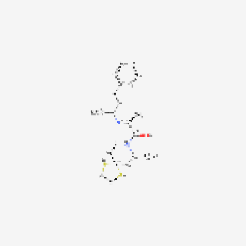 CCOC(=O)C(CCc1ccccc1)N[C@@H](C)C(=O)N1CCC2(C[C@H]1C(=O)O)SCCS2